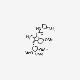 COc1ccc2c(c1)C(CC(=O)NC1CCN(C)C1)=C(C)/C2=C/c1cc(OC)c(OC)c(OC)c1